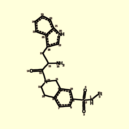 CCNS(=O)(=O)c1ccc2c(c1)CN(C(=O)C(N)Cc1c[nH]c3ccccc13)CC2